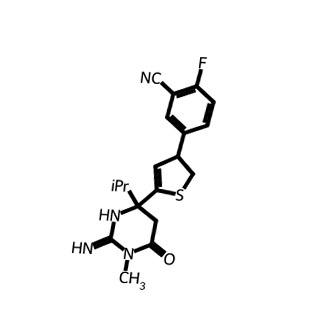 CC(C)C1(C2=CC(c3ccc(F)c(C#N)c3)CS2)CC(=O)N(C)C(=N)N1